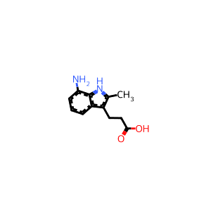 Cc1[nH]c2c(N)cccc2c1CCC(=O)O